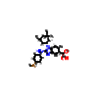 CSc1ccc(Nc2nc3cc(C(=O)O)ccc3n2[C@@H]2CC(C)CC(C)(C)C2)cc1